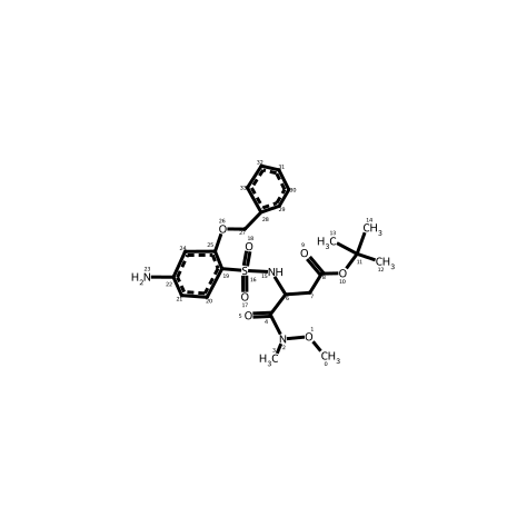 CON(C)C(=O)C(CC(=O)OC(C)(C)C)NS(=O)(=O)c1ccc(N)cc1OCc1ccccc1